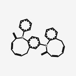 C=C1/C=C\C=C/Cc2ccccc2N1c1ccc2c(c1)C/C=C\C=C/C(=C)N2c1ccccc1